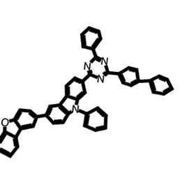 c1ccc(-c2ccc(-c3nc(-c4ccccc4)nc(-c4ccc5c6cc(-c7ccc8oc9ccccc9c8c7)ccc6n(-c6ccccc6)c5c4)n3)cc2)cc1